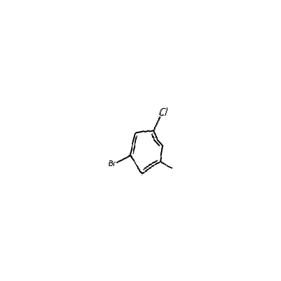 Cc1[c]c(Br)cc(Cl)c1